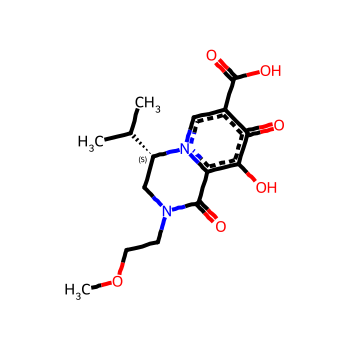 COCCN1C[C@H](C(C)C)n2cc(C(=O)O)c(=O)c(O)c2C1=O